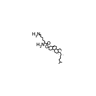 CC(C)CCC[C@@H](C)[C@H]1CCC2C3CC=C4CC(OC(=O)C(N)CCCCCN)CC[C@]4(C)C3CC[C@@]21C